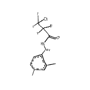 Cc1ccc(NNC(=O)C(F)(F)C(F)(F)Cl)c(C)c1